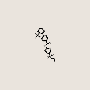 CCCS(=O)(=O)c1ccc(NC(=O)c2ccc(-c3ncccc3C(F)(F)F)cc2)nc1